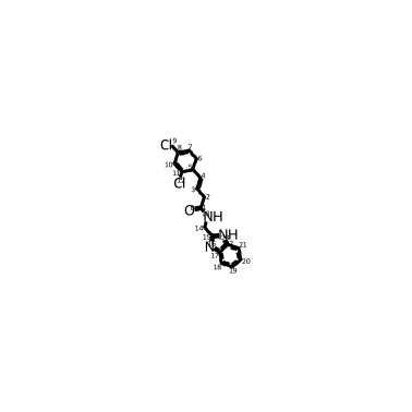 O=C(C/C=C/C1CC=C(Cl)C=C1Cl)NCc1nc2ccccc2[nH]1